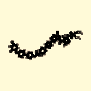 CCN(C)S(=O)(=O)Nc1ccc(F)c(C(=O)c2c[nH]c3ncc(-c4ccc(N5CCC(NC(=O)CN6CCC(c7ccc(OC8CCC(=O)NC8=O)cn7)CC6)CC5)nc4)cc23)c1F